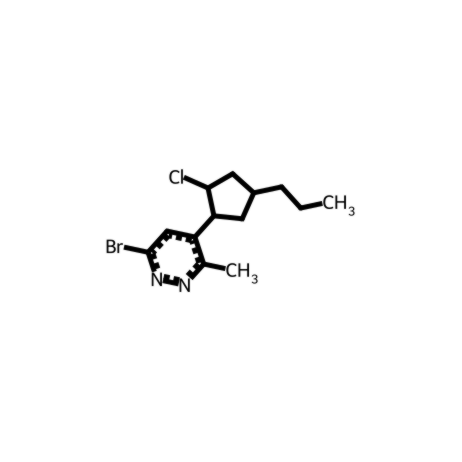 CCCC1CC(Cl)C(c2cc(Br)nnc2C)C1